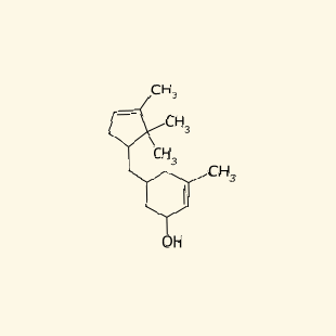 CC1=CC(O)CC(CC2CC=C(C)C2(C)C)C1